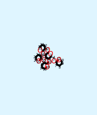 O=C1O[C@H](COC2CCCCO2)[C@@H](OC2CCCCO2)[C@H](OC2CCCCO2)[C@H]1OC1CCCCO1